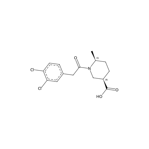 C[C@H]1CC[C@@H](C(=O)O)CN1C(=O)Cc1ccc(Cl)c(Cl)c1